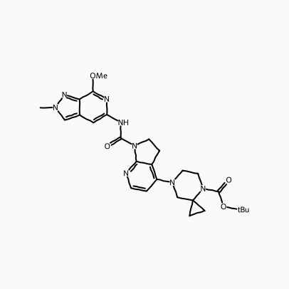 COc1nc(NC(=O)N2CCc3c(N4CCN(C(=O)OC(C)(C)C)C5(CC5)C4)ccnc32)cc2cn(C)nc12